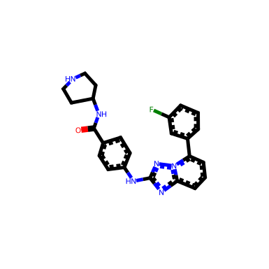 O=C(NC1CCNCC1)c1ccc(Nc2nc3cccc(-c4cccc(F)c4)n3n2)cc1